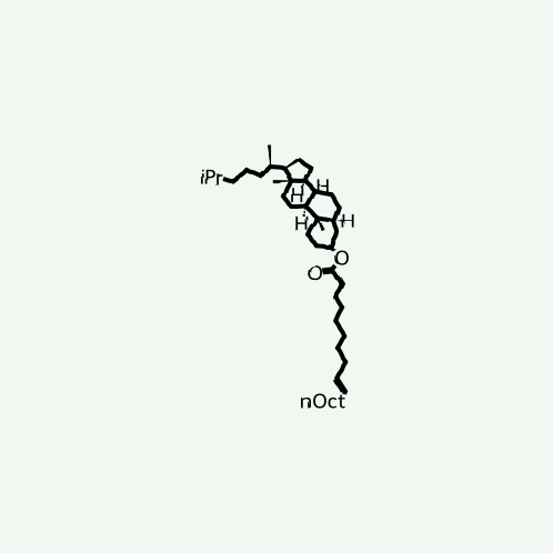 CCCCCCCC/C=C/CCCCCCCC(=O)O[C@H]1CC[C@@]2(C)[C@@H](CC[C@@H]3[C@@H]2CC[C@]2(C)[C@@H]([C@H](C)CCCC(C)C)CC[C@@H]32)C1